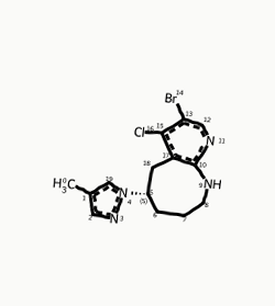 Cc1cnn([C@H]2CCCNc3ncc(Br)c(Cl)c3C2)c1